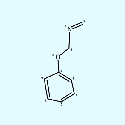 C=NCOc1ccccc1